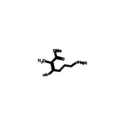 CCCCCCCCCCC(CCC)=C(C)C(=O)OC